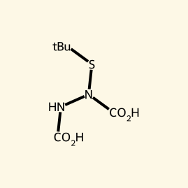 CC(C)(C)SN(NC(=O)O)C(=O)O